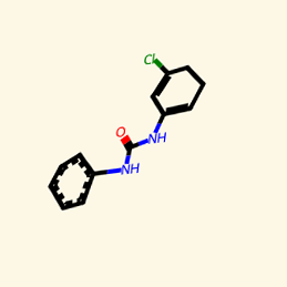 O=C(NC1=CCCC(Cl)=C1)Nc1ccccc1